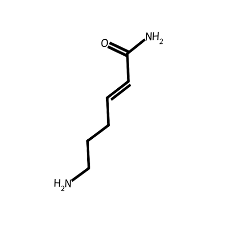 NCCCC=CC(N)=O